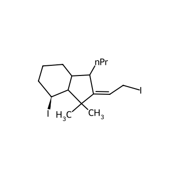 CCCC1/C(=C\CI)C(C)(C)C2C1CCC[C@@H]2I